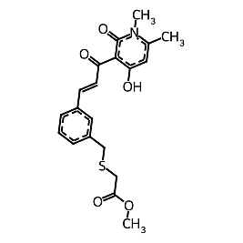 COC(=O)CSCc1cccc(/C=C/C(=O)c2c(O)cc(C)n(C)c2=O)c1